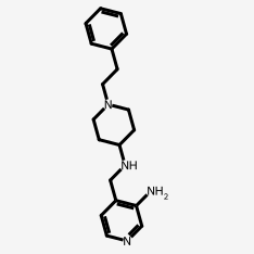 Nc1cnccc1CNC1CCN(CCc2ccccc2)CC1